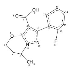 CC1CCOc2c(C(=O)O)c(-c3ccccc3F)nn21